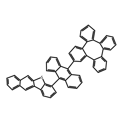 c1ccc2c(c1)-c1ccccc1-c1ccc(-c3c4ccccc4c(-c4cccc5c4sc4cc6ccccc6cc45)c4ccccc34)cc1-c1ccccc1-2